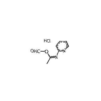 CC(=Nc1ccccn1)OC=O.Cl